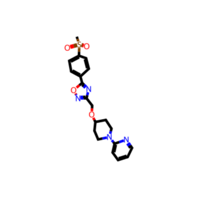 CS(=O)(=O)c1ccc(-c2nc(COC3CCN(c4ccccn4)CC3)no2)cc1